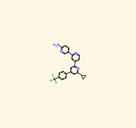 Nc1ccc(-c2cc(-c3cc(-c4ccc(C(F)(F)F)cc4)cc(C4CC4)n3)ccn2)cn1